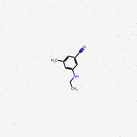 CCNc1cc(C)cc(C#N)c1